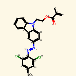 C=C(C)C(=O)OCCn1c2ccccc2c2cc(N=Nc3c(Cl)cc([N+](=O)[O-])cc3Cl)ccc21